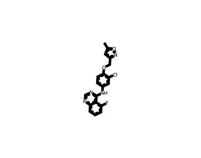 Cc1cc(COc2ccc(Nc3ncnc4cccc(F)c34)cc2Cl)no1